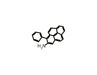 Nc1cc2ccc3cccc4ccc(c1-c1ccccc1)c2c34